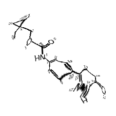 CC1(COC(=O)Nc2ccc(C3=NNC(=O)CC3)cc2)CC1